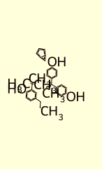 CCC(c1ccc(O)cc1)c1ccc(O)cc1.CCCc1ccc(O)c(C(C)(C)C)c1.c1cc2cc-2c1